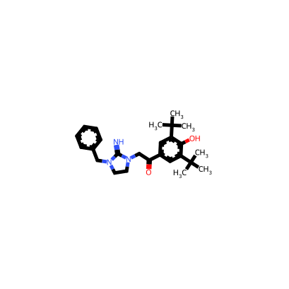 CC(C)(C)c1cc(C(=O)CN2CCN(Cc3ccccc3)C2=N)cc(C(C)(C)C)c1O